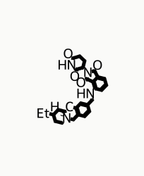 CCC1CCN(Cc2ccc(CNc3cccc4c3C(=O)N(C3CCC(=O)NC3=O)C4=O)cc2C)CC1